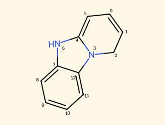 C1=CCN2C(=C1)Nc1ccccc12